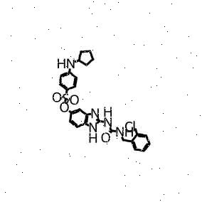 O=C(NCc1ccccc1Cl)Nc1nc2cc(OS(=O)(=O)c3ccc(NC4CCCC4)cc3)ccc2[nH]1